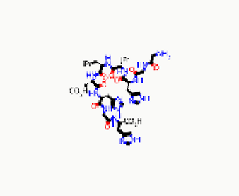 CC(C)C[C@H](NC(=O)[C@@H](NC(=O)[C@H](Cc1c[nH]cn1)NC(=O)CNC(=O)CN)C(C)C)C(=O)N[C@@H](CC(=O)O)C(=O)N[C@@H](Cc1c[nH]cn1)C(=O)NCC(=O)N[C@@H](Cc1c[nH]cn1)C(=O)O